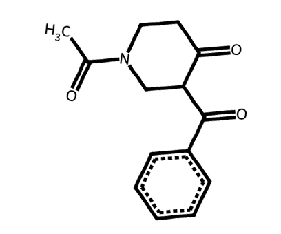 CC(=O)N1CCC(=O)C(C(=O)c2ccccc2)C1